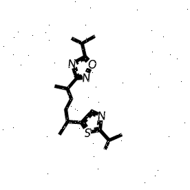 CC(C)c1nc(C(C)CCC(C)c2cnc(C(C)C)s2)no1